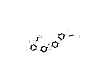 NCCNc1cc(Oc2ccc(S(=O)(=O)c3ccc(Oc4cc(NCCN)cc(C(F)(F)F)c4)cc3)cc2)cc(C(F)(F)F)c1